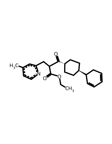 CCOC(=O)C(Cc1cc(C)ccn1)C(=O)[C@H]1CC[C@H](C2C=CC=CC2)CC1